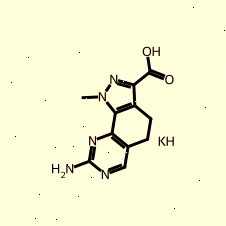 Cn1nc(C(=O)O)c2c1-c1nc(N)ncc1CC2.[KH]